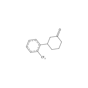 O=C1CCCC(c2ccccc2C(F)(F)F)C1